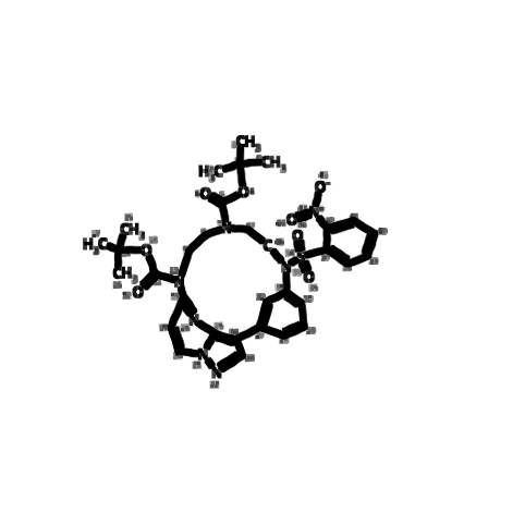 CC(C)(C)OC(=O)N1CCN(C(=O)OC(C)(C)C)c2ccn3ncc(c3n2)-c2cccc(c2)N(S(=O)(=O)c2ccccc2[N+](=O)[O-])CC1